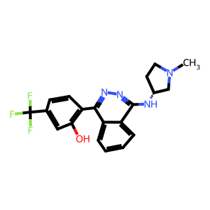 CN1CC[C@@H](Nc2nnc(-c3ccc(C(F)(F)F)cc3O)c3ccccc23)C1